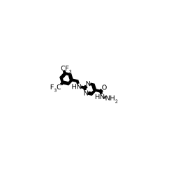 NNC(=O)c1cnc(NCc2cc(C(F)(F)F)cc(C(F)(F)F)c2)nc1